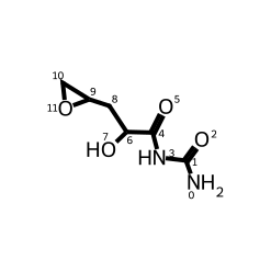 NC(=O)NC(=O)C(O)CC1CO1